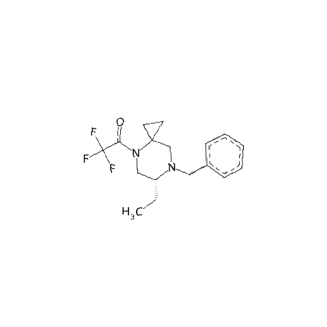 CC[C@@H]1CN(C(=O)C(F)(F)F)C2(CC2)CN1Cc1ccccc1